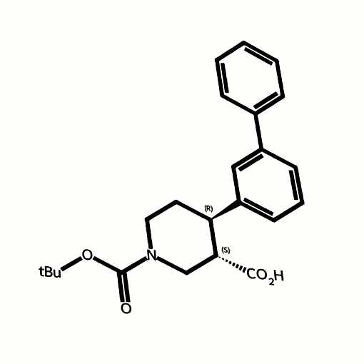 CC(C)(C)OC(=O)N1CC[C@@H](c2cccc(-c3ccccc3)c2)[C@H](C(=O)O)C1